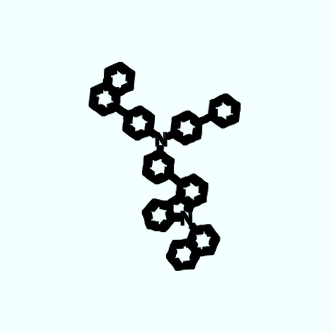 c1ccc(-c2ccc(N(c3ccc(-c4cccc5ccccc45)cc3)c3cccc(-c4cccc5c4c4ccccc4n5-c4cccc5ccccc45)c3)cc2)cc1